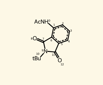 CC(=O)Nc1cccc2c1C(=O)N(C(C)(C)C)C2=O